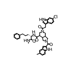 CNC(=O)[C@H](CCCc1ccccc1)NC(=O)C1CN(C(=O)Cc2c[nH]c3cc(Cl)ccc23)CC2CN(C(=O)c3cc4cc(C)ccc4[nH]3)CC21